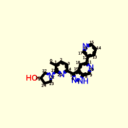 Cc1ccc(-c2n[nH]c3cnc(-c4cccnc4)cc23)nc1N1CC[C@H](O)C1